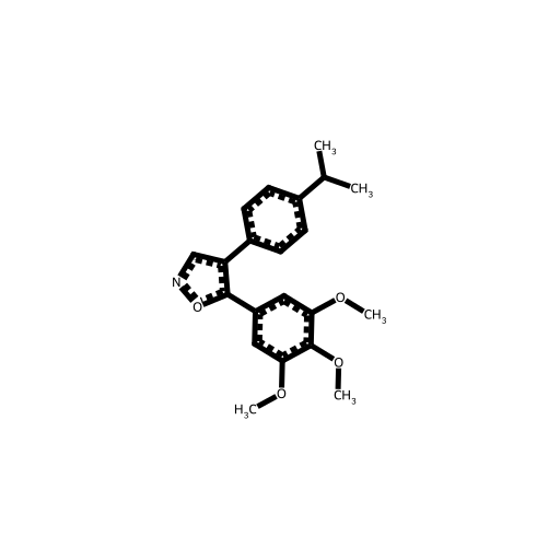 COc1cc(-c2oncc2-c2ccc(C(C)C)cc2)cc(OC)c1OC